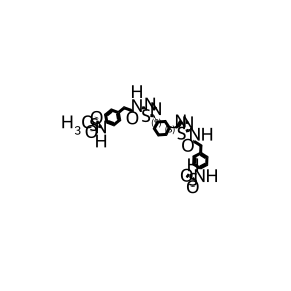 CS(=O)(=O)Nc1ccc(CC(=O)Nc2nnc([C@H]3CCC[C@H](c4nnc(NC(=O)Cc5ccc(N[SH](=O)=O)cc5)s4)C3)s2)cc1